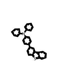 c1ccc(N(c2ccccc2)c2ccc(-c3ccc4sc5ccccc5c4c3)cc2)cc1